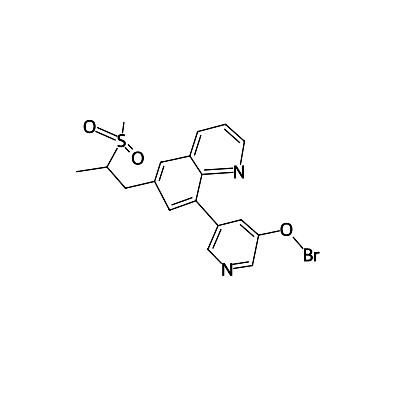 CC(Cc1cc(-c2cncc(OBr)c2)c2ncccc2c1)S(C)(=O)=O